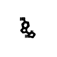 Oc1ccc2c(c1)CCC2C1=NCCN1